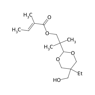 CC=C(C)C(=O)OCC(C)(C)C1OCC(CC)(CO)CO1